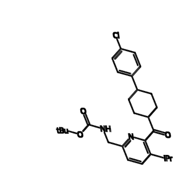 CC(C)c1ccc(CNC(=O)OC(C)(C)C)nc1C(=O)C1CCC(c2ccc(Cl)cc2)CC1